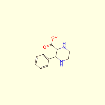 O=C(O)C1NCCNC1c1ccccc1